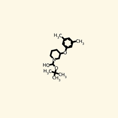 Cc1cc(C)cc(OC2CCCN(C(O)OC(C)(C)C)C2)c1